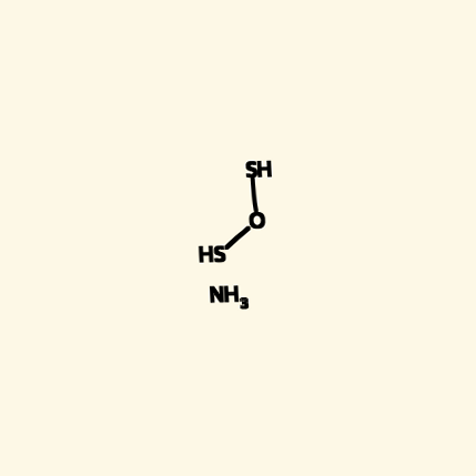 N.SOS